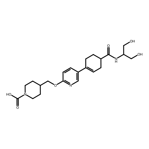 O=C(NC(CO)CO)C1CC=C(c2ccc(OCC3CCN(C(=O)O)CC3)nc2)CC1